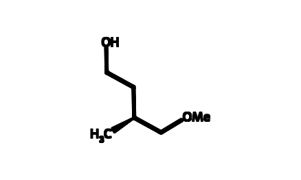 COC[C@@H](C)CCO